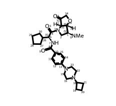 CN[C@H]1CN(C(=O)[C@@H](NC(=O)c2ccc(N3CCN(C4CCC4)CC3)cc2)C2CCCC2)[C@@H]2C(=O)CO[C@H]12